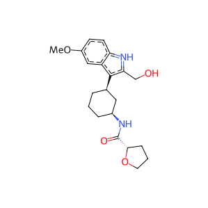 COc1ccc2[nH]c(CO)c([C@@H]3CCC[C@H](NC(=O)[C@@H]4CCCO4)C3)c2c1